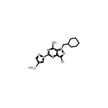 CCc1nn(CC2CCCCC2)c2c(O)nc(-n3cc(C(=O)O)cn3)nc12